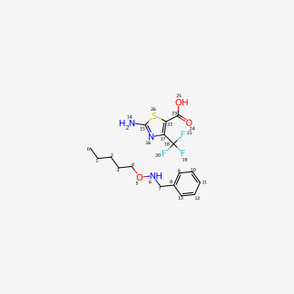 CCCCCONCc1ccccc1.Nc1nc(C(F)(F)F)c(C(=O)O)s1